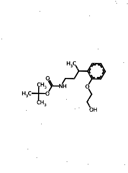 CC(CCNC(=O)OC(C)(C)C)c1ccccc1OCCO